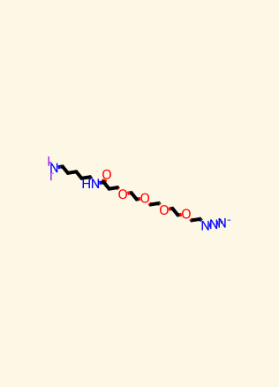 [N-]=[N+]=NCCOCCOCCOCCOCCC(=O)NCCCCCN(I)I